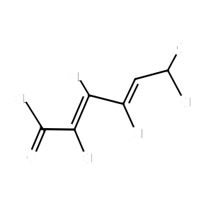 O=C(Cl)C(Cl)=C(Cl)C(Cl)=CC(Cl)Cl